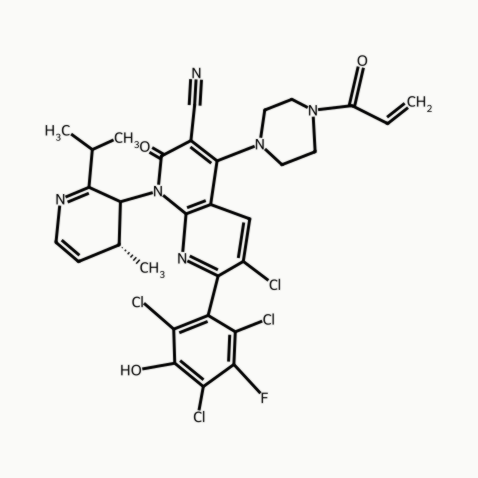 C=CC(=O)N1CCN(c2c(C#N)c(=O)n(C3C(C(C)C)=NC=C[C@H]3C)c3nc(-c4c(Cl)c(O)c(Cl)c(F)c4Cl)c(Cl)cc23)CC1